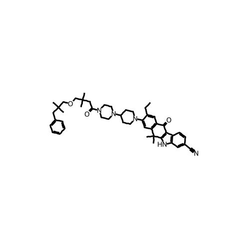 CCc1cc2c(cc1N1CCC(N3CCN(C(=O)CC(C)(C)COCC(C)(C)Cc4ccccc4)CC3)CC1)C(C)(C)c1[nH]c3cc(C#N)ccc3c1C2=O